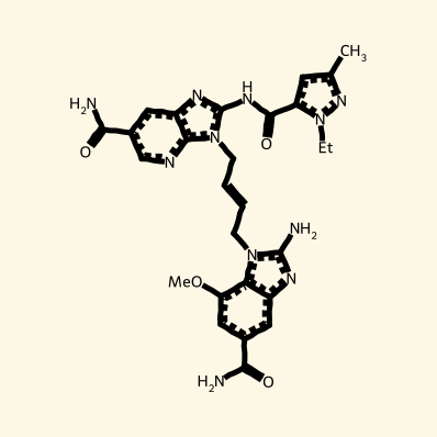 CCn1nc(C)cc1C(=O)Nc1nc2cc(C(N)=O)cnc2n1CC=CCn1c(N)nc2cc(C(N)=O)cc(OC)c21